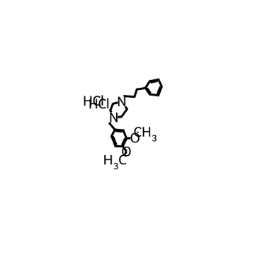 COc1ccc(CN2CCN(CCCc3ccccc3)CC2)cc1OC.Cl.Cl